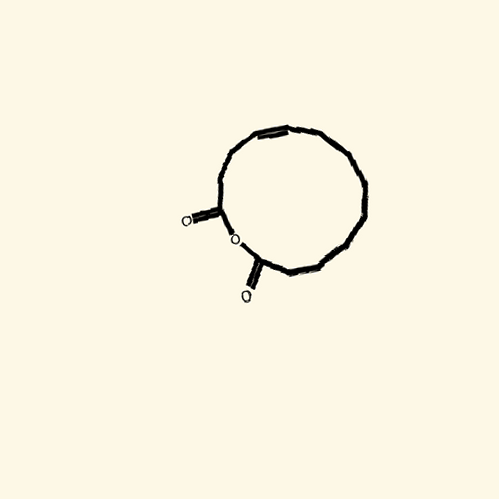 O=C1CC/C=C\CCCCCCCC(=O)O1